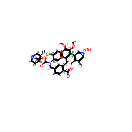 COc1ccc([C@H](Cc2c(Cl)c[n+](O)cc2Cl)c2cc(CN(C(=O)O[C@H]3CN4CCC3CC4)c3ccccc3Cl)ccc2C(=O)[O-])cc1OC